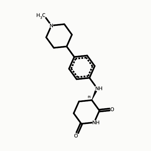 CN1CCC(c2ccc(N[C@@H]3CCC(=O)NC3=O)cc2)CC1